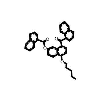 CCCCCOc1ccc(C(=O)c2cccc3ccccc23)c2cc(OC(=O)c3cccc4ccccc34)ccc12